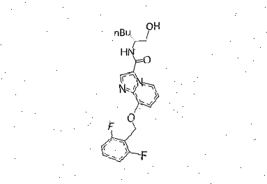 CCCC[C@H](CO)NC(=O)c1cnc2c(OCc3c(F)cccc3F)cccn12